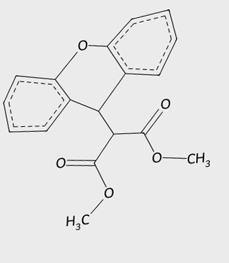 COC(=O)C(C(=O)OC)C1c2ccccc2Oc2ccccc21